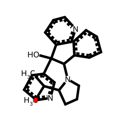 CC(C)C1CCCN1C(c1ccccc1)C(O)(c1cccnc1)c1cccnc1